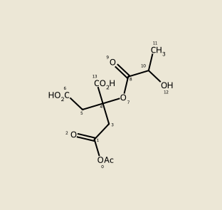 CC(=O)OC(=O)CC(CC(=O)O)(OC(=O)C(C)O)C(=O)O